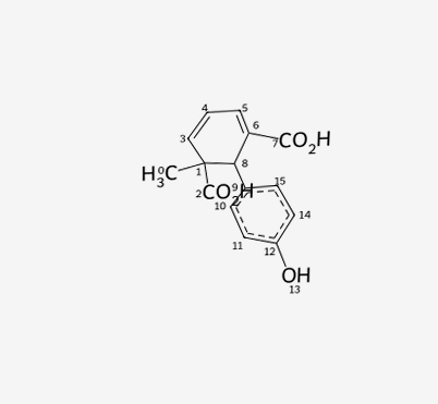 CC1(C(=O)O)C=CC=C(C(=O)O)C1c1ccc(O)cc1